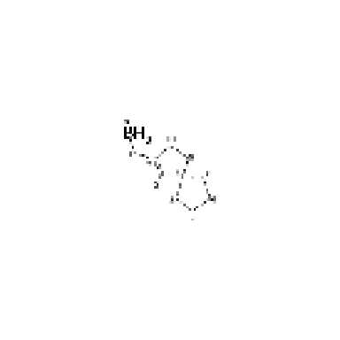 BCC1=CC2(CCCC2)CC1